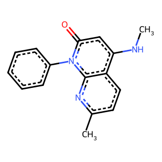 CNc1cc(=O)n(-c2ccccc2)c2nc(C)ccc12